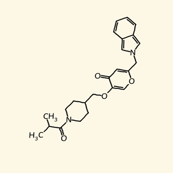 CC(C)C(=O)N1CCC(COc2coc(Cn3cc4ccccc4c3)cc2=O)CC1